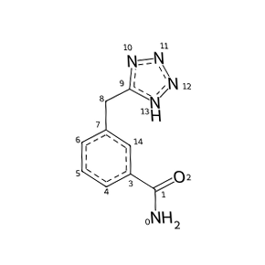 NC(=O)c1cccc(Cc2nnn[nH]2)c1